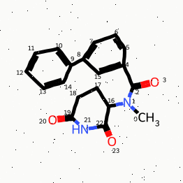 CN(C(=O)c1cccc(-c2ccccc2)c1)C1CCC(=O)NC1=O